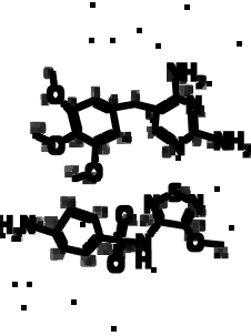 COc1cc(Cc2cnc(N)nc2N)cc(OC)c1OC.COc1nsnc1NS(=O)(=O)c1ccc(N)cc1